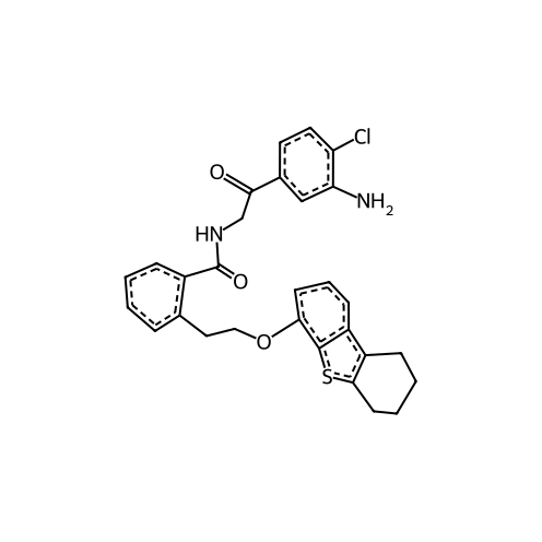 Nc1cc(C(=O)CNC(=O)c2ccccc2CCOc2cccc3c4c(sc23)CCCC4)ccc1Cl